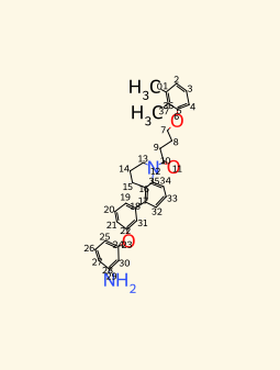 Cc1cccc(OCCCC(=O)N2CCCc3c(-c4cccc(Oc5cccc(N)c5)c4)cccc32)c1C